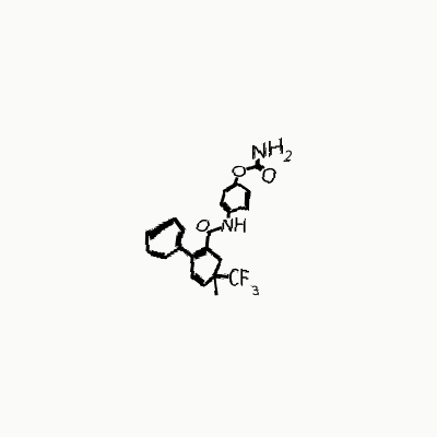 CC1(C(F)(F)F)C=CC(c2ccccc2)=C(C(=O)Nc2ccc(OC(N)=O)cc2)C1